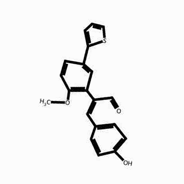 COc1ccc(-c2cccs2)cc1C(C=O)=Cc1ccc(O)cc1